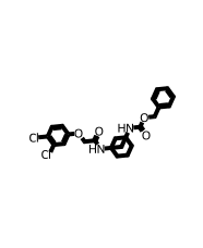 O=C(COc1ccc(Cl)c(Cl)c1)NC12CCCC(NC(=O)OCc3ccccc3)(C1)C2